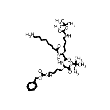 CC(C)(C)OC(=O)NCCCC[C@H](NC(=O)CCCCCCCN)C(=O)N[C@@H](CCCCNC(=O)OCc1ccccc1)C(=O)OC(C)(C)C